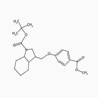 COC(=O)c1ccc(OCC2CN(C(=O)OC(C)(C)C)C3CCCCC23)cc1